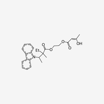 CCC(C)(C(=O)OCCOC(=O)/C=C(/C)O)C(C)n1c2ccccc2c2ccccc21